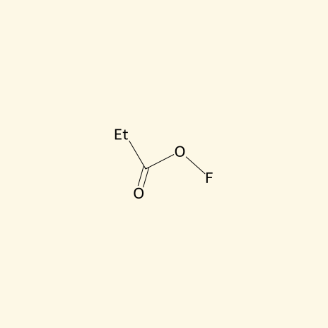 CCC(=O)OF